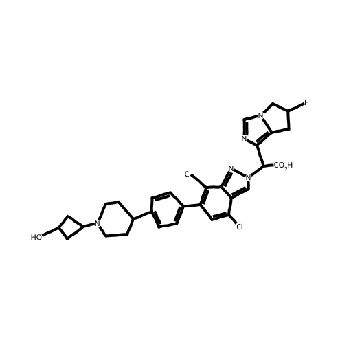 O=C(O)C(c1ncn2c1CC(F)C2)n1cc2c(Cl)cc(-c3ccc(C4CCN(C5CC(O)C5)CC4)cc3)c(Cl)c2n1